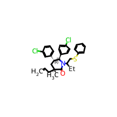 C=CC[C@@]1(C)C[C@H](c2cccc(Cl)c2)[C@@H](c2ccc(Cl)cc2)N(C(CC)CSc2ccccc2)C1=O